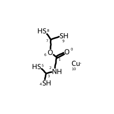 O=C(NC(S)S)OC(S)S.[Cu]